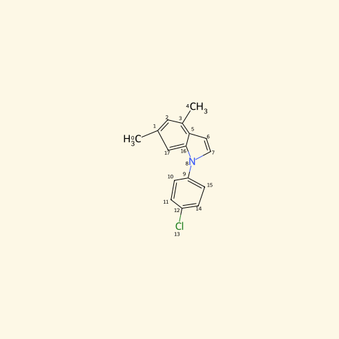 Cc1cc(C)c2ccn(-c3ccc(Cl)cc3)c2c1